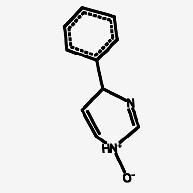 [O-][NH+]1C=CC(c2ccccc2)N=C1